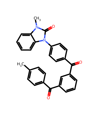 Cc1ccc(C(=O)c2cccc(C(=O)c3ccc(-n4c(=O)n(C)c5ccccc54)cc3)c2)cc1